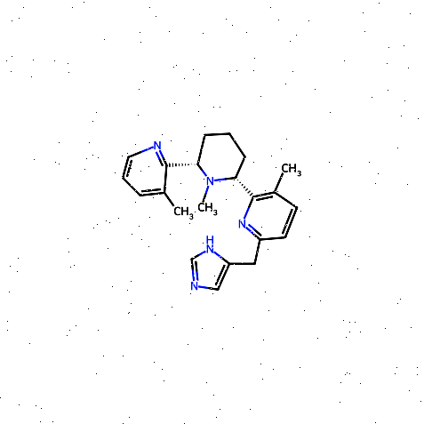 Cc1ccc(Cc2cnc[nH]2)nc1[C@H]1CCC[C@@H](c2ncccc2C)N1C